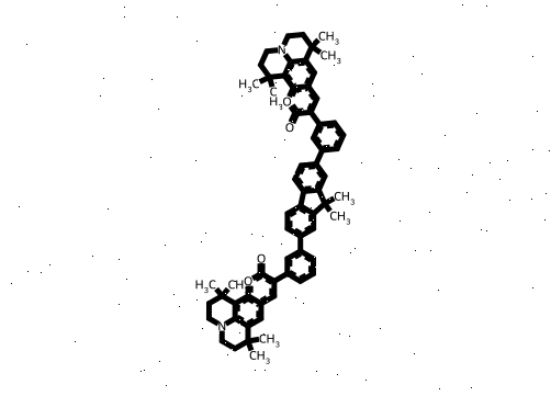 CC1(C)CCN2CCC(C)(C)c3c2c1cc1cc(-c2cccc(-c4ccc5c(c4)C(C)(C)c4cc(-c6cccc(-c7cc8cc9c%10c(c8oc7=O)C(C)(C)CCN%10CCC9(C)C)c6)ccc4-5)c2)c(=O)oc31